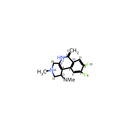 C=C1NC2=C(c3cc(F)c(F)cc31)C(NC)CN(C)C2